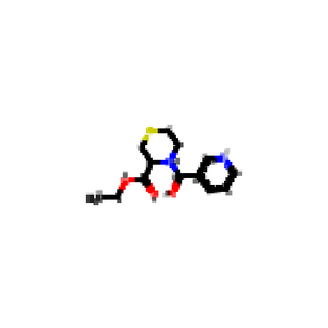 CCOC(=O)C1CSCCN1C(=O)c1cccnc1